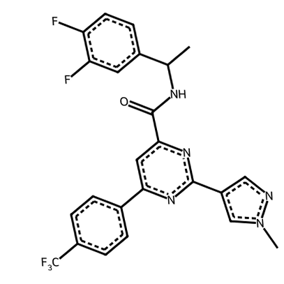 CC(NC(=O)c1cc(-c2ccc(C(F)(F)F)cc2)nc(-c2cnn(C)c2)n1)c1ccc(F)c(F)c1